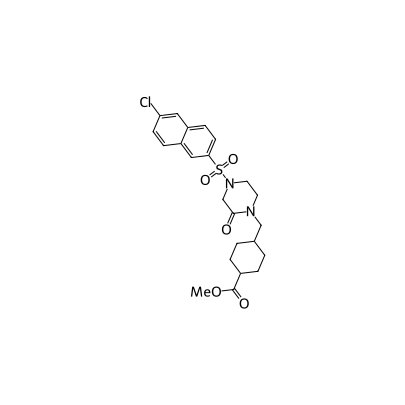 COC(=O)C1CCC(CN2CCN(S(=O)(=O)c3ccc4cc(Cl)ccc4c3)CC2=O)CC1